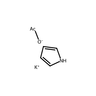 CC(=O)[O-].[K+].c1cc[nH]c1